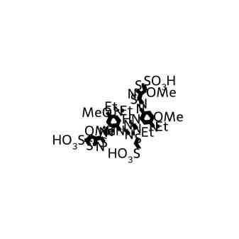 CCN(CC)c1cc(Nc2nc(Nc3cc(N(CC)CC)c(OC)cc3/N=N/c3snc4sc(S(=O)(=O)O)c(OC)c34)nc(SCCS(=O)(=O)O)n2)c(/N=N/c2snc3sc(S(=O)(=O)O)c(OC)c23)cc1OC